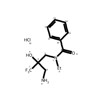 CCN(CC(O)(CN)C(F)(F)F)C(=O)c1ccccc1.Cl